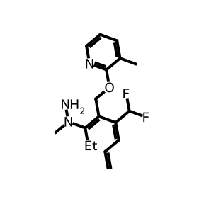 C=C/C=C(\C(COc1ncccc1C)=C(/CC)N(C)N)C(F)F